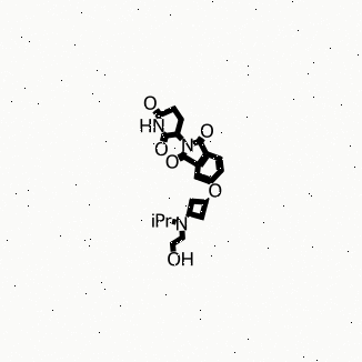 CC(C)N(CCO)[C@H]1C[C@H](Oc2ccc3c(c2)C(=O)N(C2CCC(=O)NC2=O)C3=O)C1